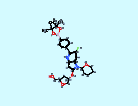 CC1(C)OB(c2ccc(-c3nc4cc(O[C@@H]5CO[C@H](CO)C5)n(C5CCCCO5)c4cc3F)cc2)OC1(C)C